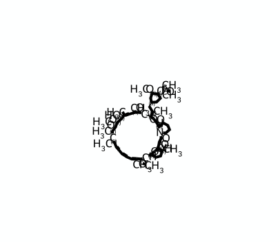 CO[C@H]1C[C@@H]2CC[C@@H](C)[C@@](O)(O2)C(=O)C(=O)N2CCCC[C@H]2C(=O)O[C@H]([C@H](C)C[C@@H]2CC[C@@H](OP(C)(C)=O)[C@H](OC)C2)CC(=O)[C@H](C)C=C(C)[C@@H](O)[C@@H](OC)C(=O)[C@H](C)C[C@H](C)C=CC=CC=C1C